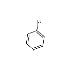 CCc1c[c][c]cc1